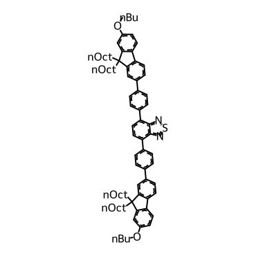 CCCCCCCCC1(CCCCCCCC)c2cc(OCCCC)ccc2-c2ccc(-c3ccc(-c4ccc(-c5ccc(-c6ccc7c(c6)C(CCCCCCCC)(CCCCCCCC)c6cc(OCCCC)ccc6-7)cc5)c5nsnc45)cc3)cc21